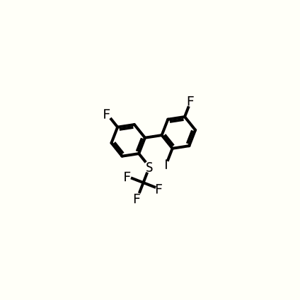 Fc1ccc(I)c(-c2cc(F)ccc2SC(F)(F)F)c1